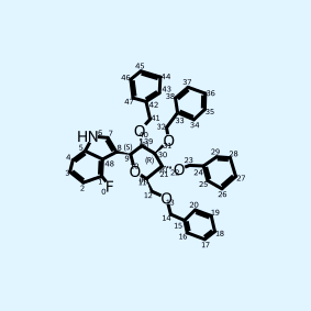 Fc1cccc2[nH]cc([C@@H]3O[C@H](COCc4ccccc4)[C@@H](OCc4ccccc4)[C@H](OCc4ccccc4)[C@H]3OCc3ccccc3)c12